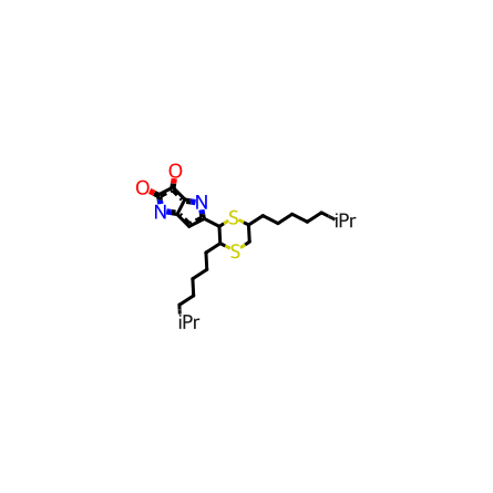 CC(C)CCCCCC1CSC(CCCCCC(C)C)C(c2cc3nc(=O)c(=O)c-3n2)S1